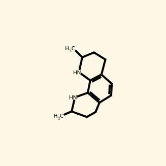 CC1CCc2ccc3c(c2N1)NC(C)CC3